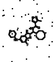 Cc1nocc1C(=O)NC(c1nc2c(F)cc(NC3CCOCC3)cc2[nH]1)C1CCCCCCC1